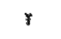 Cn1c(C2CCC2)nc2cc(C(=O)Nc3ccc(OC(F)(F)Cl)cc3)cc(-c3cncnc3)c21